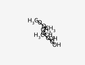 CCCOCCCOC(CC)(CC)CCCOC(C)(CC)CCCOCC(O)COCCO